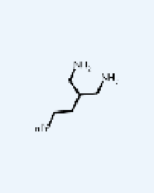 CCCCCC(CN)CN